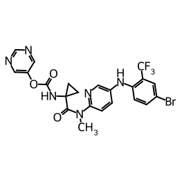 CN(C(=O)C1(NC(=O)Oc2cncnc2)CC1)c1ccc(Nc2ccc(Br)cc2C(F)(F)F)cn1